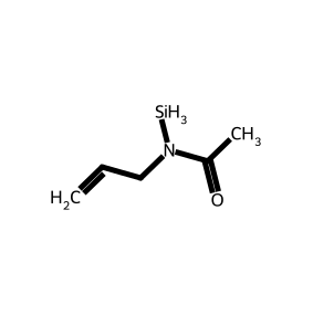 C=CCN([SiH3])C(C)=O